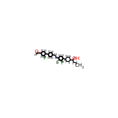 CCCC(O)C1CCC(c2ccc(/C=C/c3ccc(-c4ccc(C5CO5)cc4F)cc3)c(F)c2F)CC1